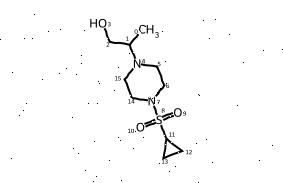 CC(CO)N1CCN(S(=O)(=O)C2CC2)CC1